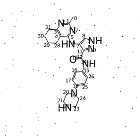 Cc1nc2c(c(Nc3c[nH]nc3C(=O)Nc3ccc(N4CCNCC4)cc3)n1)CCCC2